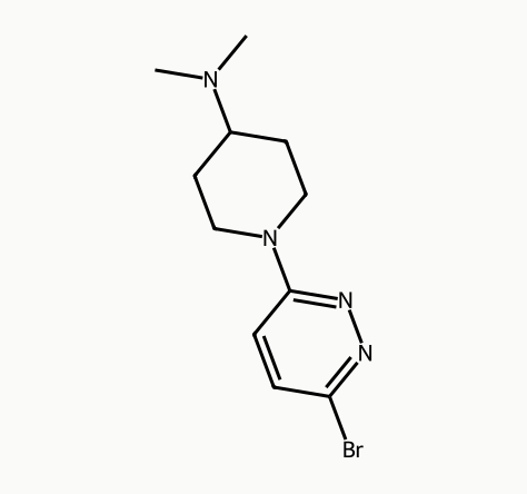 CN(C)C1CCN(c2ccc(Br)nn2)CC1